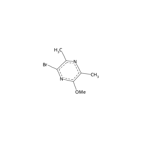 COc1nc(Br)c(C)nc1C